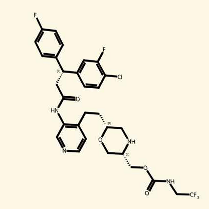 O=C(C[C@H](c1ccc(F)cc1)c1ccc(Cl)c(F)c1)Nc1cnccc1CC[C@@H]1CN[C@H](COC(=O)NCC(F)(F)F)CO1